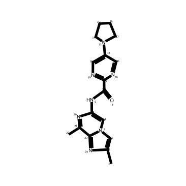 Cc1cn2cc(NC(=O)c3ncc(N4CCCC4)cn3)nc(C)c2n1